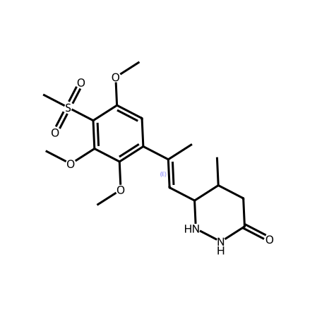 COc1cc(/C(C)=C/C2NNC(=O)CC2C)c(OC)c(OC)c1S(C)(=O)=O